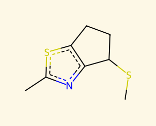 CSC1CCc2sc(C)nc21